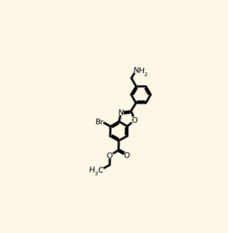 CCOC(=O)c1cc(Br)c2nc(-c3cccc(CN)c3)oc2c1